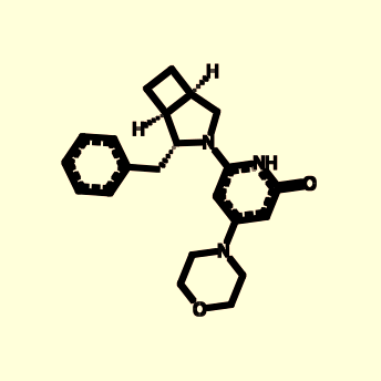 O=c1cc(N2CCOCC2)cc(N2C[C@@H]3CC[C@@H]3[C@H]2Cc2ccccc2)[nH]1